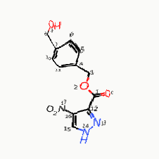 O=C(OCc1ccc(CO)cc1)c1n[nH]cc1[N+](=O)[O-]